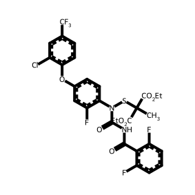 CCOC(=O)C(C)(SN(C(=O)NC(=O)c1c(F)cccc1F)c1ccc(Oc2ccc(C(F)(F)F)cc2Cl)cc1F)C(=O)OCC